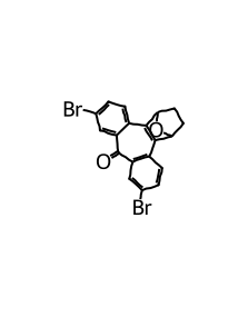 O=c1c2cc(Br)ccc2c2c(c3ccc(Br)cc13)C1CCC2O1